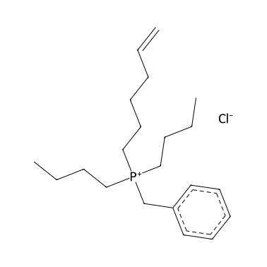 C=CCCCC[P+](CCCC)(CCCC)Cc1ccccc1.[Cl-]